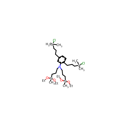 CCO[Si](C)(CCCN(CCC[Si](C)(OCC)OCC)c1cc(CCC[Si](C)(C)Cl)ccc1CCC[Si](C)(C)Cl)OCC